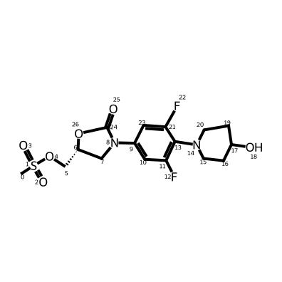 CS(=O)(=O)OC[C@H]1CN(c2cc(F)c(N3CCC(O)CC3)c(F)c2)C(=O)O1